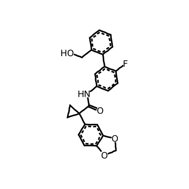 O=C(Nc1ccc(F)c(-c2ccccc2CO)c1)C1(c2ccc3c(c2)OCO3)CC1